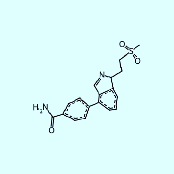 CS(=O)(=O)CCC1N=Cc2c(-c3ccc(C(N)=O)cc3)cccc21